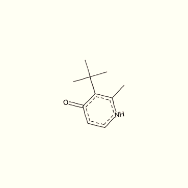 Cc1[nH]ccc(=O)c1C(C)(C)C